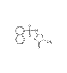 CC1SC(NS(=O)(=O)c2cccc3ccccc23)=NC1=O